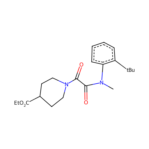 CCOC(=O)C1CCN(C(=O)C(=O)N(C)c2ccccc2C(C)(C)C)CC1